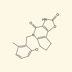 Cc1cccc(Cl)c1Cn1c2c(c3oc(=O)[nH]c3c1=O)CCC2